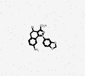 CCC1Cc2ccc(N)cc2-c2c1c(C(=O)O)nn2-c1ccc2c(c1)OCO2